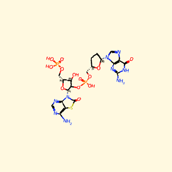 Nc1nc2c(ncn2[C@H]2CC[C@@H](COP(=O)(O)OC3[C@H](n4c(=O)sc5c(N)ncnc54)O[C@H](COP(=O)(O)O)[C@H]3O)O2)c(=O)[nH]1